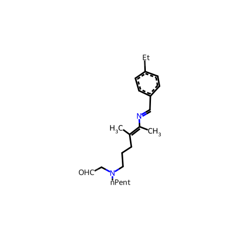 CCCCCN(CC=O)CCC/C(C)=C(C)/N=C/c1ccc(CC)cc1